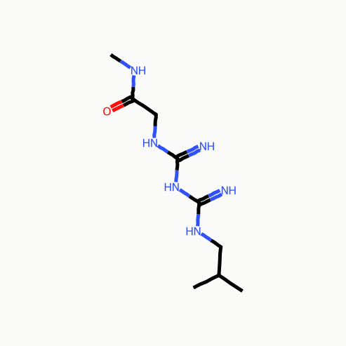 CNC(=O)CNC(=N)NC(=N)NCC(C)C